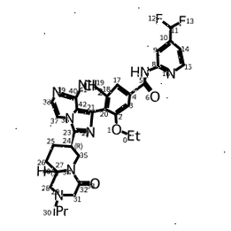 CCOc1cc(C(=O)Nc2cc(C(F)F)ccn2)cc(Cl)c1-c1nc([C@@H]2CC[C@H]3CN(C(C)C)CC(=O)N3C2)n2ccnc(N)c12